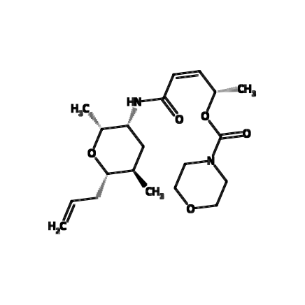 C=CC[C@@H]1O[C@H](C)[C@H](NC(=O)/C=C\[C@H](C)OC(=O)N2CCOCC2)C[C@H]1C